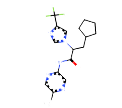 Cc1cnc(NC(=O)C(CC2CCCC2)n2cnc(C(F)(F)F)c2)cn1